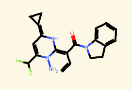 C=C/C(C(=O)N1CCc2ccccc21)=C1/NC(=C2CC2)C=C(C(F)F)N1N